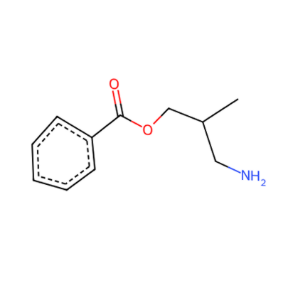 CC(CN)COC(=O)c1ccccc1